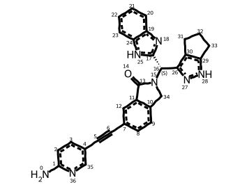 Nc1ccc(C#Cc2ccc3c(c2)C(=O)N([C@H](c2nc4ccccc4[nH]2)c2n[nH]c4c2CCC4)C3)cn1